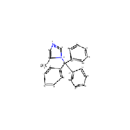 O=Cc1cncn1C(c1ccccc1)(c1ccccc1)c1ccccc1